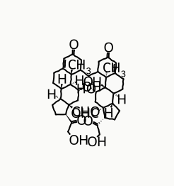 C[C@@]12C(=CC(=O)CC1C(=O)C1CC(=O)C=C3CC[C@@H]4[C@H]([C@@H](O)C[C@]5(C=O)[C@@H](C(=O)CO)CC[C@@H]45)[C@]31C)CC[C@@H]1[C@@H]2[C@@H](O)C[C@]2(C=O)[C@@H](C(=O)CO)CC[C@@H]12